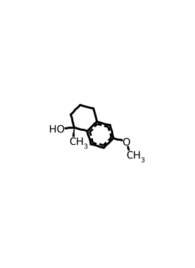 COc1ccc2c(c1)CCC[C@@]2(C)O